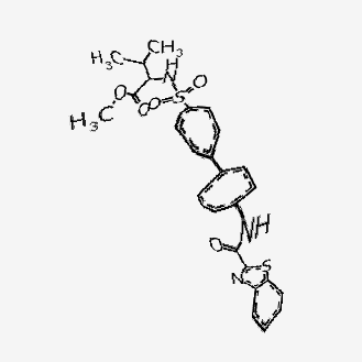 COC(=O)C(NS(=O)(=O)c1ccc(-c2ccc(NC(=O)c3nc4ccccc4s3)cc2)cc1)C(C)C